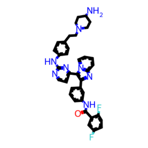 NC1CCN(CCc2ccc(Nc3nccc(-c4c(-c5cccc(NC(=O)c6cc(F)ccc6F)c5)nc5ccccn45)n3)cc2)CC1